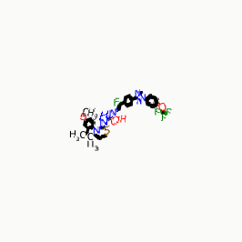 COc1ccc(N2CCCS/C2=N\C(O)N/C=C(\F)c2ccc(-c3ncn(-c4ccc(OC(F)(F)F)cc4)n3)cc2)c(C(C)C)c1